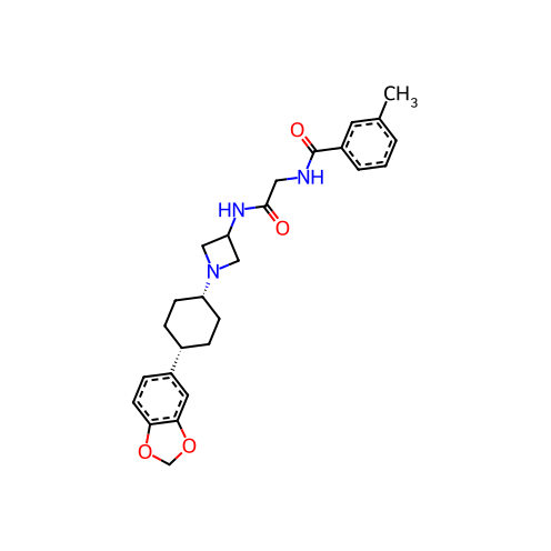 Cc1cccc(C(=O)NCC(=O)NC2CN([C@H]3CC[C@@H](c4ccc5c(c4)OCO5)CC3)C2)c1